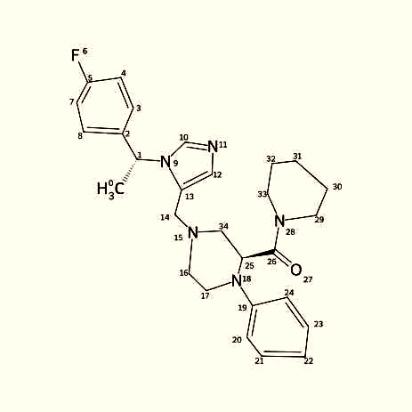 C[C@H](c1ccc(F)cc1)n1cncc1CN1CCN(c2ccccc2)[C@H](C(=O)N2CCCCC2)C1